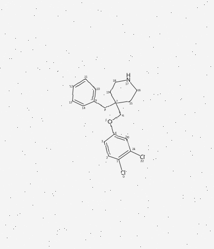 Clc1ccc(OCC2(Cc3ccccc3)CCNCC2)cc1Cl